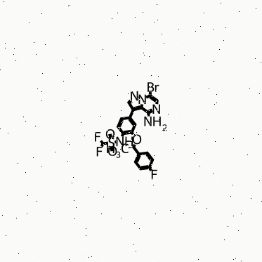 C[C@H](Oc1cc(-c2cnn3c(Br)cnc(N)c23)ccc1NS(=O)(=O)C(F)F)c1ccc(F)cc1